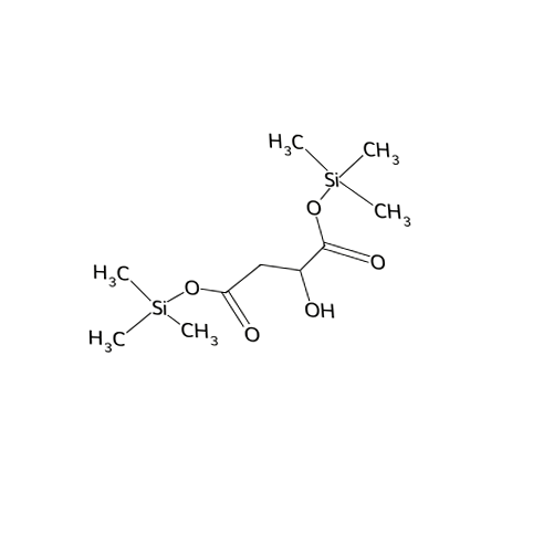 C[Si](C)(C)OC(=O)CC(O)C(=O)O[Si](C)(C)C